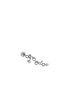 CC1(C)OB(c2ccc3c(c2)nc(CN2CCC(c4cccc(OCc5ccc(Cl)cc5F)n4)CC2)n3CC2CCO2)OC1(C)C